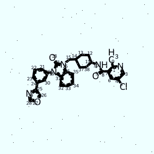 Cc1ncc(Cl)cc1C(=O)NC1CCC(Cn2c(=O)n(-c3cccc(-c4cocn4)c3)c3ccccc32)CC1